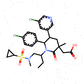 CCC(CN(C)S(=O)(=O)C1CC1)N1C(=O)C(C)(CC(=O)O)CC(c2cncc(Cl)c2)C1c1ccc(Cl)cc1